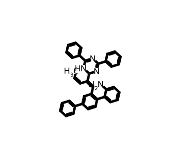 C/C=C\C(=Cc1cc(-c2ccccc2)ccc1-c1ccccc1N)C1N=C(c2ccccc2)N=C(c2ccccc2)N1